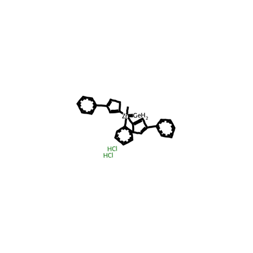 Cl.Cl.[CH3][Zr](=[GeH2])([C]1=CC(c2ccccc2)=CC1)([C]1=CC(c2ccccc2)=CC1)[c]1ccccc1